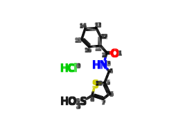 Cl.O=C(NCc1ccc(S(=O)(=O)O)s1)c1ccccc1